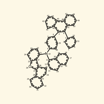 c1ccc(-c2c(-c3ccc(N(c4cccc5ccccc45)c4cccc5oc6c7ccccc7ccc6c45)cc3)c3ccccc3c3ccccc23)cc1